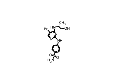 C[C@H](CO)Nc1nc(Nc2ccc(S(N)(=O)=O)cc2)ncc1Br